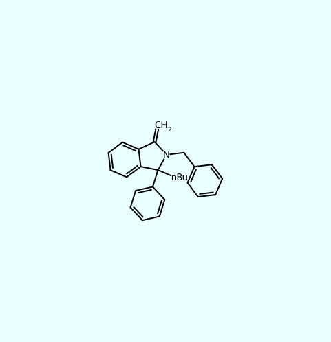 C=C1c2ccccc2C(CCCC)(c2ccccc2)N1Cc1ccccc1